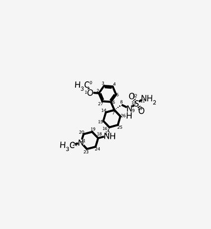 COc1cccc([C@]2(CNS(N)(=O)=O)CC[C@@H](NC3CCN(C)CC3)CC2)c1